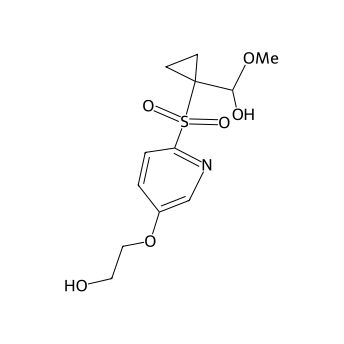 COC(O)C1(S(=O)(=O)c2ccc(OCCO)cn2)CC1